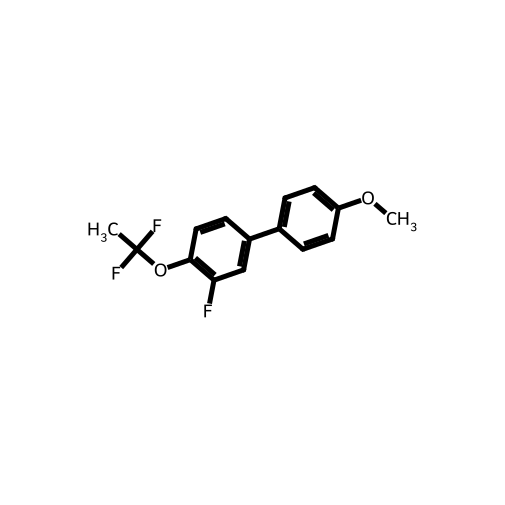 COc1ccc(-c2ccc(OC(C)(F)F)c(F)c2)cc1